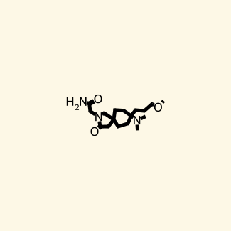 COCCCC1(N(C)C)CCC2(CC1)CC(=O)N(CC(N)=O)C2